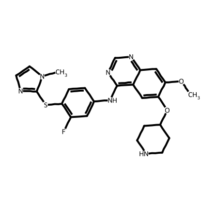 COc1cc2ncnc(Nc3ccc(Sc4nccn4C)c(F)c3)c2cc1OC1CCNCC1